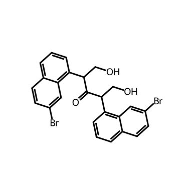 O=C(C(CO)c1cccc2ccc(Br)cc12)C(CO)c1cccc2ccc(Br)cc12